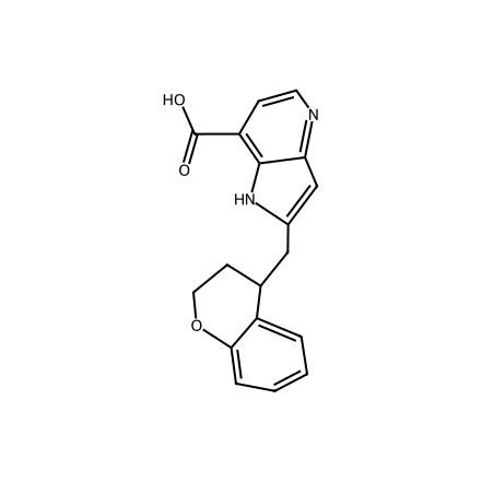 O=C(O)c1ccnc2cc(CC3CCOc4ccccc43)[nH]c12